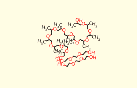 CC(O)COC(C)COC(C)COC(C)COC(C)COC(C)COC(C)COC(C)COC(C)COC(C)COC(C)COC(C)CO.OCCOCCOCCO.OCCOCCOCCO